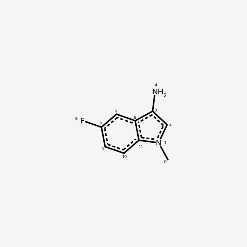 Cn1cc(N)c2cc(F)ccc21